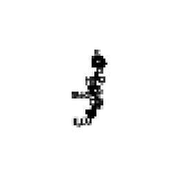 CO[C@H]1C[C@@H](NC(=O)COc2ccc(F)cc2)CO[C@@H]1c1nnc(C2CC(OC(F)(F)F)C2)o1